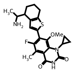 COc1c(-c2cc3c(s2)CCCC3C(C)N)c(F)c(C)c2c(=O)[nH]c(=O)n(C3CC3)c12